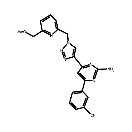 COCc1cccc(Cn2cc(-c3cc(-c4cccc(C#N)c4)nc(N)n3)nn2)n1